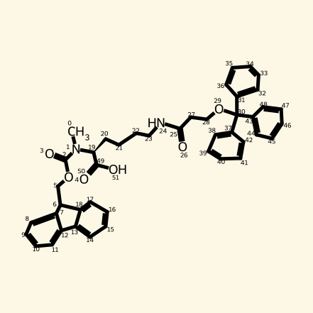 CN(C(=O)OCC1c2ccccc2-c2ccccc21)[C@@H](CCCCNC(=O)CCOC(c1ccccc1)(c1ccccc1)c1ccccc1)C(=O)O